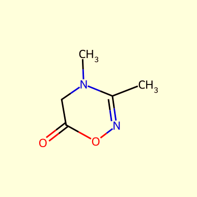 CC1=NOC(=O)CN1C